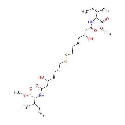 CCC(C)C(NC(=O)CC(O)C=CCCSSCCC=CC(O)CC(=O)NC(C(=O)OC)C(C)CC)C(=O)OC